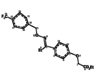 CCOC(=O)COc1ccc(/C(CC)=N/OCc2ccc(C(F)(F)F)cc2)cc1